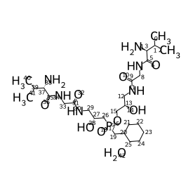 CC(C)[C@H](N)C(=O)NCC(=O)NC[C@@H](O)COP(=O)(CC1CCCCC1)C[C@H](O)CNC(=O)CNC(=O)[C@@H](N)C(C)C.O